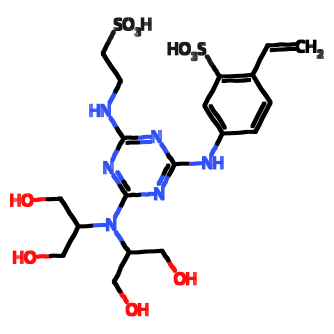 C=Cc1ccc(Nc2nc(NCCS(=O)(=O)O)nc(N(C(CO)CO)C(CO)CO)n2)cc1S(=O)(=O)O